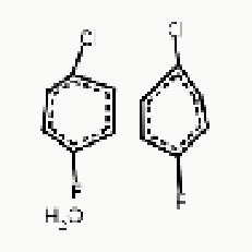 Fc1ccc(Cl)cc1.Fc1ccc(Cl)cc1.O